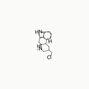 CN1CC(CCl)C[C@@H]2c3cccc4[nH]cc(c34)C[C@H]21